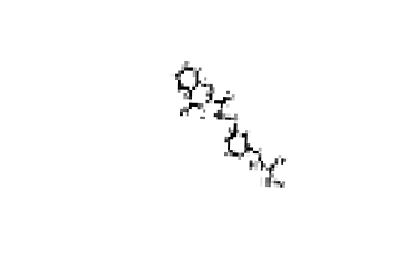 CNC(=O)NCc1cccc(CNC(=O)c2nc3ccccc3c(=O)[nH]2)c1